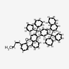 C=C/C=C\c1cccc2c1Oc1cc3c(c4cccc-2c14)-c1cc2c(cc1C3(c1ccccc1)c1ccccc1)-c1c(ccc3ccccc13)C2(c1ccccc1)c1ccccc1